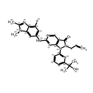 C=CCn1c(=O)c2cnc(Nc3cc(F)c4nc(C)n(C)c4c3)nc2n1-c1cccc(C(C)(C)O)n1